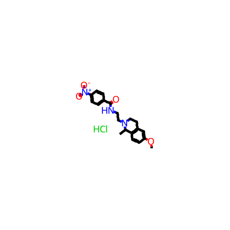 COc1ccc2c(c1)CCN(CCNC(=O)c1ccc([N+](=O)[O-])cc1)C2C.Cl